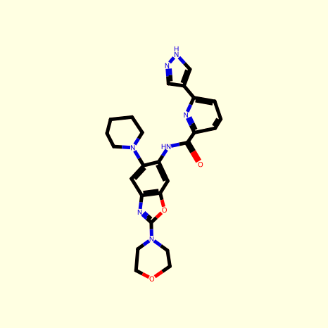 O=C(Nc1cc2oc(N3CCOCC3)nc2cc1N1CCCCC1)c1cccc(-c2cn[nH]c2)n1